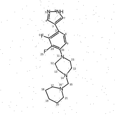 Fc1c(-c2cn[nH]c2)ccc(N2CCN(CN3CCCCC3)CC2)c1F